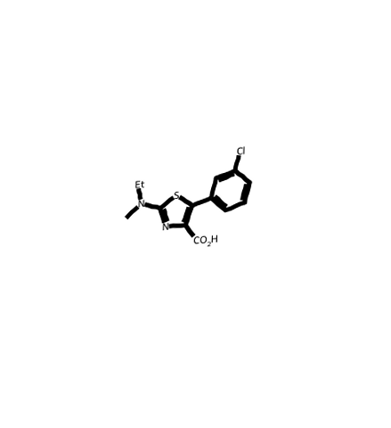 CCN(C)c1nc(C(=O)O)c(-c2cccc(Cl)c2)s1